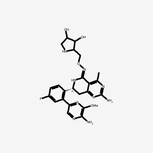 COc1nc(-c2cc(F)ccc2[C@H]2Cc3nc(N)nc(C)c3/C(=N/OCC3NCC(O)C3O)N2)cnc1N